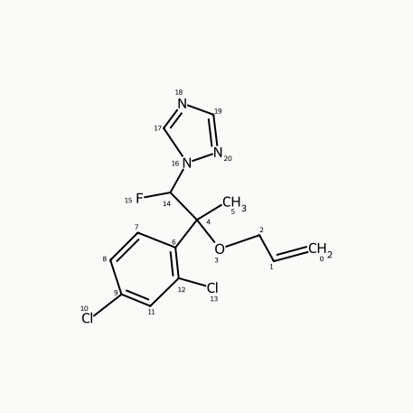 C=CCOC(C)(c1ccc(Cl)cc1Cl)C(F)n1cncn1